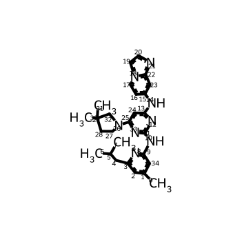 Cc1cc(CC(C)C)nc(Nc2nc(Nc3ccn4ccnc4c3)cc(N3CCC(C)(C)C3)n2)c1